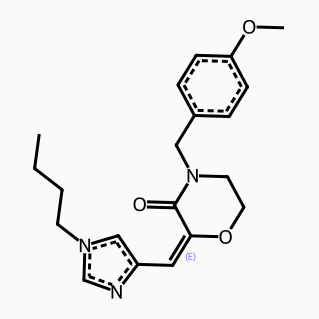 CCCCn1cnc(/C=C2/OCCN(Cc3ccc(OC)cc3)C2=O)c1